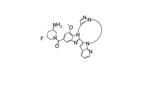 COc1cc(C(=O)N2C[C@H](N)C[C@@H](F)C2)cc2nc3n(c12)Cc1cnn(c1)CCCCCCCn1c-3cc2cccnc21